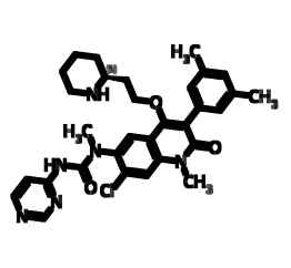 Cc1cc(C)cc(-c2c(OCC[C@@H]3CCCCN3)c3cc(N(C)C(=O)Nc4ccncn4)c(Cl)cc3n(C)c2=O)c1